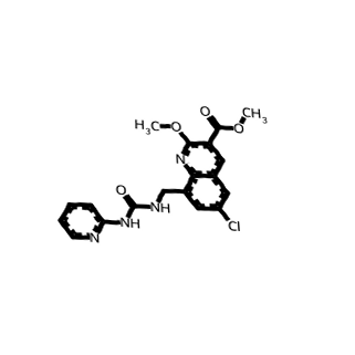 COC(=O)c1cc2cc(Cl)cc(CNC(=O)Nc3ccccn3)c2nc1OC